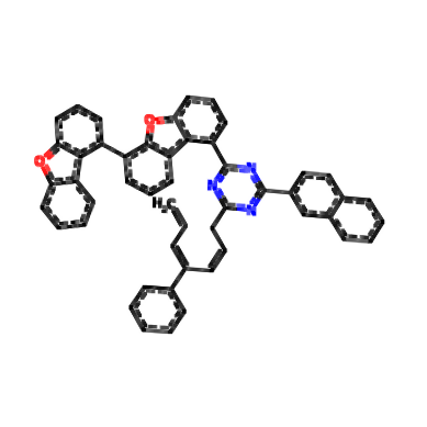 C=C/C=C(\C=C/Cc1nc(-c2ccc3ccccc3c2)nc(-c2cccc3oc4c(-c5cccc6oc7ccccc7c56)cccc4c23)n1)c1ccccc1